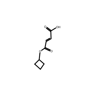 O=C(O)C=CC(=O)OC1CCC1